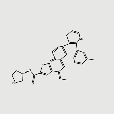 C=c1ccc(C2=C(c3cccc(C)n3)NC=CC2)c/c1=C/C(=C\C)c1csc(C(=O)O[C@@H]2CCNC2)c1